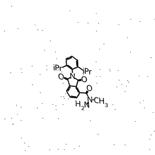 CC(C)c1cccc(C(C)C)c1N1C(=O)c2cccc(C(=O)N(C)N)c2C1=O